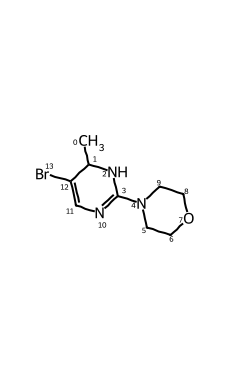 CC1NC(N2CCOCC2)=NC=C1Br